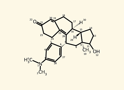 CN(C)c1ccc([C@H]2C[C@]3(C)C(O)CC[C@H]3[C@@H]3CCC4=CC(=O)CCC4=C32)cc1